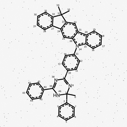 CC1(c2ccccc2)N=C(c2ccc(-n3c4ccccc4c4cc5c(cc43)-c3ccccc3C5(C)C)cc2)N=C(c2ccccc2)N1